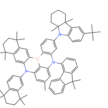 Cc1cc2c3c(c1)N(c1cccc4c1-c1ccccc1C4(C)C)c1cc(N4c5ccc(C(C)(C)C)cc5C5(C)CCCCC45C)ccc1B3c1cc3c(cc1N2c1ccc2c(c1)C(C)(C)CCC2(C)C)C(C)(C)CCC3(C)C